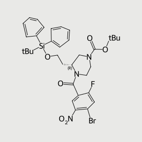 CC(C)(C)OC(=O)N1CCN(C(=O)c2cc([N+](=O)[O-])c(Br)cc2F)[C@H](CCO[Si](c2ccccc2)(c2ccccc2)C(C)(C)C)C1